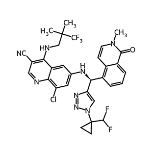 Cn1ccc2c([C@H](Nc3cc(Cl)c4ncc(C#N)c(NCC(C)(C)C(F)(F)F)c4c3)c3cn(C4(C(F)F)CC4)nn3)cccc2c1=O